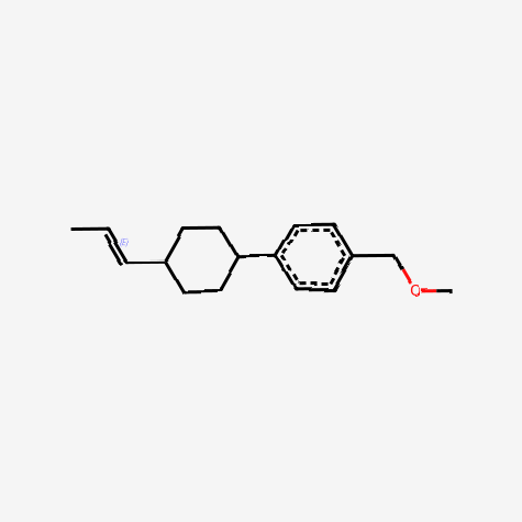 C/C=C/C1CCC(c2ccc(COC)cc2)CC1